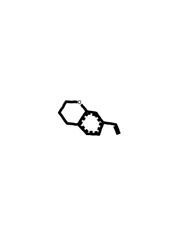 C=Cc1ccc2c(c1)OCCC2